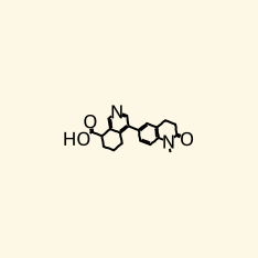 CN1C(=O)CCc2cc(-c3cncc4c3CCCC4C(=O)O)ccc21